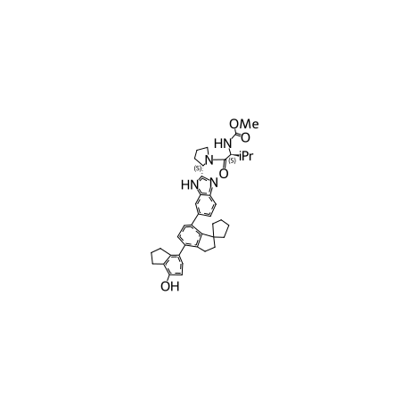 COC(=O)N[C@H](C(=O)N1CCC[C@H]1c1nc2ccc(-c3ccc(-c4ccc(O)c5c4CCC5)c4c3C3(CCCC3)CC4)cc2[nH]1)C(C)C